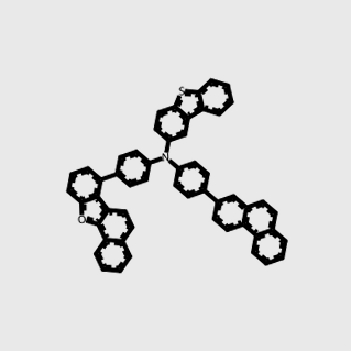 c1ccc2c(c1)ccc1cc(-c3ccc(N(c4ccc(-c5cccc6oc7c8ccccc8ccc7c56)cc4)c4ccc5sc6ccccc6c5c4)cc3)ccc12